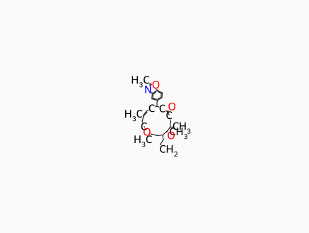 C=CCC1CC(C)OCCC(C)=CCC(c2ccc3oc(C)nc3c2)CC(=O)CCC(C)(C)C1=O